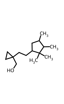 CC1CC(CCC2(CO)CC2)C(C)(C)C1C